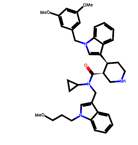 COCCCn1cc(CN(C(=O)[C@H]2CNCC[C@@H]2c2cn(Cc3cc(OC)cc(OC)c3)c3ccccc23)C2CC2)c2ccccc21